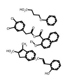 CC1=C(C(=O)O)Cc2ccccc21.CCOc1ccc2ccccc2c1C(=O)OC(=O)Cc1ccc(Cl)c(Cl)c1.O=C(O)C=Cc1ccccc1O.O=C(O)CCCOc1ccccc1